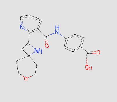 O=C(O)c1ccc(NC(=O)c2cccnc2C2CC3(CCOCC3)N2)cc1